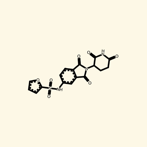 O=C1CCC(N2C(=O)c3ccc(NS(=O)(=O)c4ccco4)cc3C2=O)C(=O)N1